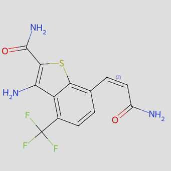 NC(=O)/C=C\c1ccc(C(F)(F)F)c2c(N)c(C(N)=O)sc12